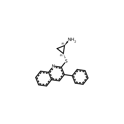 N[C@@H]1C[C@H]1Sc1nc2ccccc2cc1-c1ccccc1